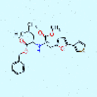 COC(=O)[C@H](Cc1ccc(-c2ccsc2)o1)NC(CC(C)C)C(=O)OCc1ccccc1